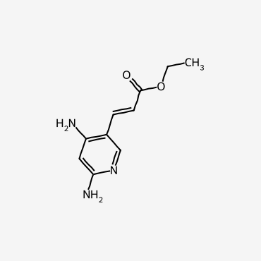 CCOC(=O)C=Cc1cnc(N)cc1N